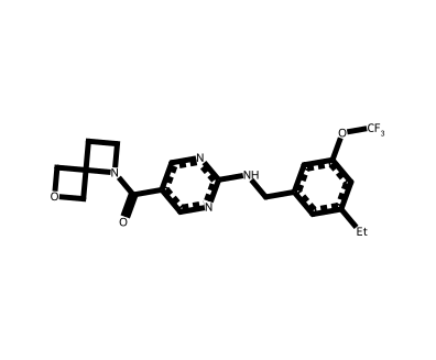 CCc1cc(CNc2ncc(C(=O)N3CCC34COC4)cn2)cc(OC(F)(F)F)c1